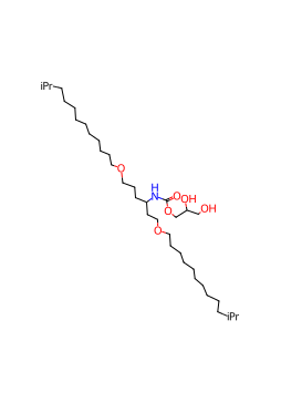 CC(C)CCCCCCCCCCOCCCC(CCOCCCCCCCCCCC(C)C)NC(=O)OCC(O)CO